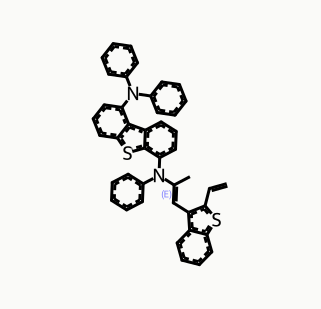 C=Cc1sc2ccccc2c1/C=C(\C)N(c1ccccc1)c1cccc2c1sc1cccc(N(c3ccccc3)c3ccccc3)c12